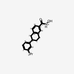 CC(C)c1cccc(C2CCc3cc(C(=O)NO)ccc3C2)c1